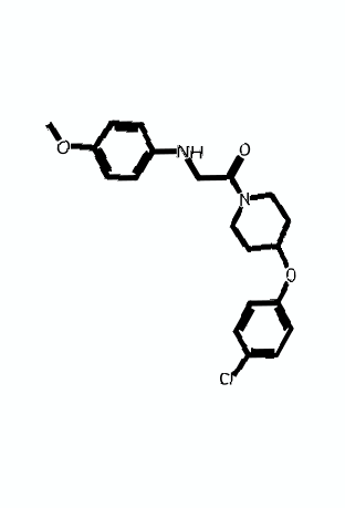 COc1ccc(NCC(=O)N2CCC(Oc3ccc(Cl)cc3)CC2)cc1